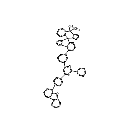 CC1(C)c2ccccc2C2(c3ccccc3-c3c(-c4cccc(-c5cc(-c6ccc(-c7cccc8c7oc7ccccc78)cc6)nc(-c6ccccc6)n5)c4)cccc32)c2ccccc21